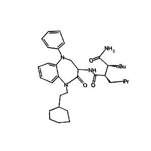 CCCC[C@H](C(N)=O)[C@@H](CC(C)C)C(=O)NC1CN(c2ccccc2)c2ccccc2N(CCC2CCCCC2)C1=O